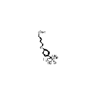 CCCCCCCCCCCCCCOc1ccc(C(C)(C)P(=O)(O)O)cc1